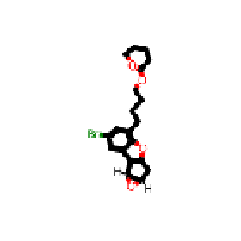 Brc1cc(CCCCOC2CCCCO2)c2c(c1)C1C(C[C@H]3O[C@@H]13)O2